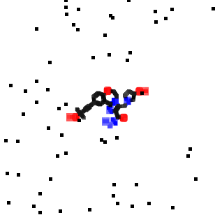 CC(C)(O)C#Cc1ccc2c(c1)-c1nc(C(N)=O)c(CN3CC[C@@H](O)C3)n1CCO2